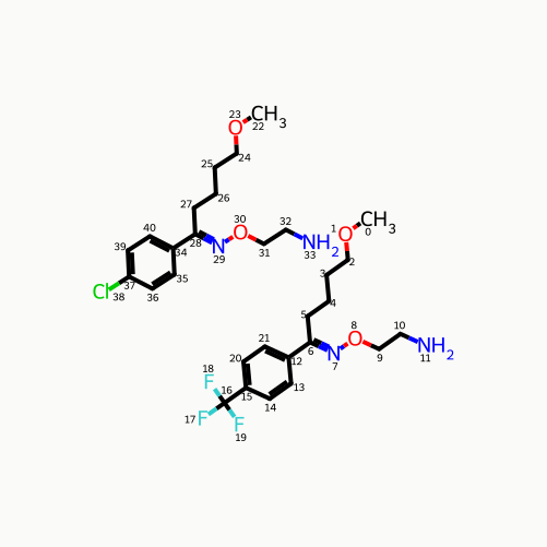 COCCCC/C(=N\OCCN)c1ccc(C(F)(F)F)cc1.COCCCC/C(=N\OCCN)c1ccc(Cl)cc1